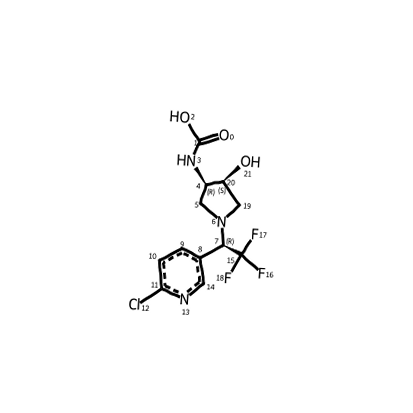 O=C(O)N[C@@H]1CN([C@H](c2ccc(Cl)nc2)C(F)(F)F)C[C@@H]1O